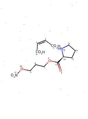 O=C(O)/C=C\C(=O)O.O=C(OCCCO[N+](=O)[O-])[C@@H]1CCCN1